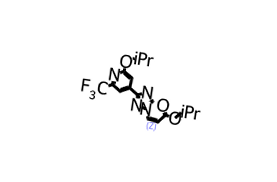 CC(C)OC(=O)/C=C\n1cnc(-c2cc(OC(C)C)nc(C(F)(F)F)c2)n1